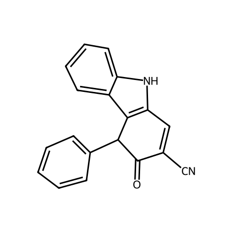 N#CC1=Cc2[nH]c3ccccc3c2C(c2ccccc2)C1=O